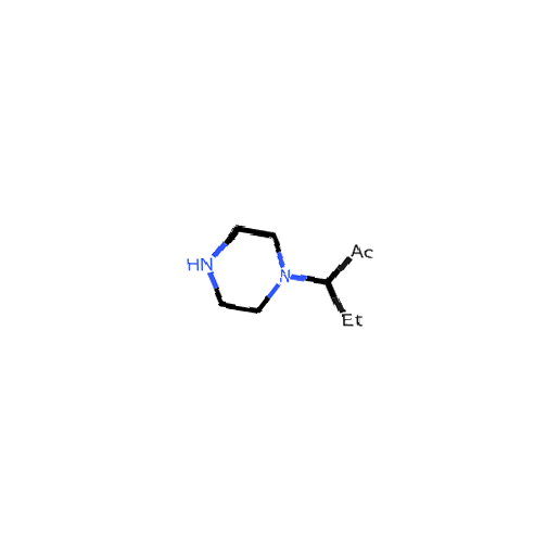 CCC(C(C)=O)N1CCNCC1